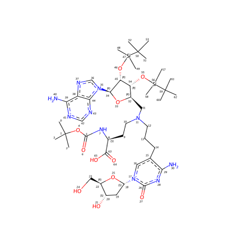 CC(C)(C)OC(=O)N[C@@H](CCN(CCCc1cn([C@@H]2C[C@H](O)[C@@H](CO)O2)c(=O)nc1N)C[C@H]1O[C@@H](n2cnc3c(N)ncnc32)[C@H](O[Si](C)(C)C(C)(C)C)[C@@H]1O[Si](C)(C)C(C)(C)C)C(=O)O